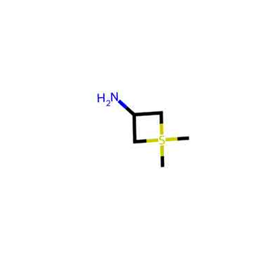 CS1(C)CC(N)C1